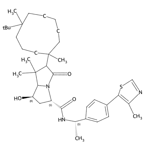 Cc1ncsc1-c1ccc([C@H](C)NC(=O)[C@@H]2C[C@@H](O)C3N2C(=O)C(C2(C)CCCCCC(C)(C(C)(C)C)CCC2)C3(C)C)cc1